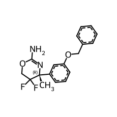 C[C@]1(c2cccc(OCc3ccccc3)c2)N=C(N)OCC1(F)F